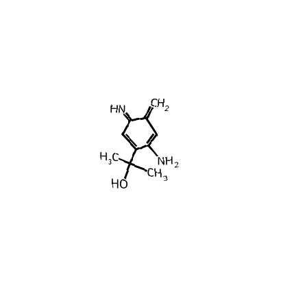 C=C1C=C(N)C(C(C)(C)O)=CC1=N